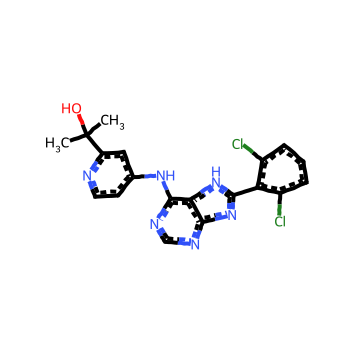 CC(C)(O)c1cc(Nc2ncnc3nc(-c4c(Cl)cccc4Cl)[nH]c23)ccn1